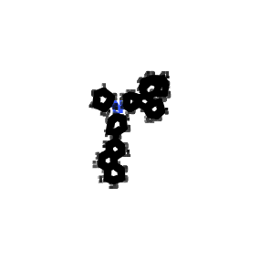 c1ccc(N(c2ccc(-c3ccc4c(ccc5ccccc54)c3)cc2)c2ccc3c(c2)-c2ccccc2C32C3CC4CC(C3)CC2C4)cc1